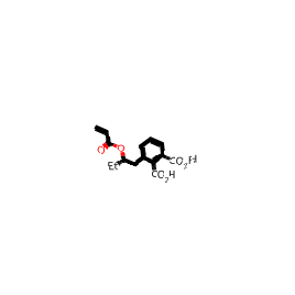 C=CC(=O)OC(CC)Cc1cccc(C(=O)O)c1C(=O)O